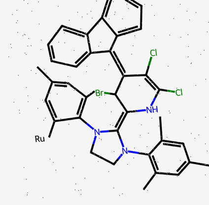 Cc1cc(C)c(N2CCN(c3c(C)cc(C)cc3C)C2=C2NC(Cl)=C(Cl)C(=C3c4ccccc4-c4ccccc43)C2Br)c(C)c1.[Ru]